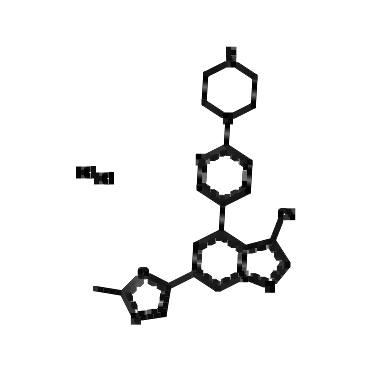 Cc1ncc(-c2cc(-c3ccc(N4CCNCC4)nc3)c3c(C#N)cnn3c2)o1.Cl.Cl